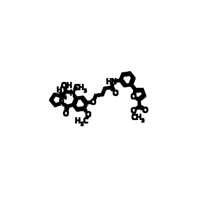 COC(=O)c1ccc(-c2cccc(NC(=O)CCCOc3cc4c(cc3OC)C(=O)N3CCC[C@H]3C(O)N4C)c2)o1